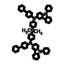 C[Si](C)(c1ccc(N(c2ccc(-c3ccccc3)cc2)c2ccc3c(c2)c2ccccc2n3-c2ccccc2)cc1)c1ccc(N(c2ccc(-c3ccccc3)cc2)c2ccc3c(c2)c2ccccc2n3-c2ccccc2)cc1